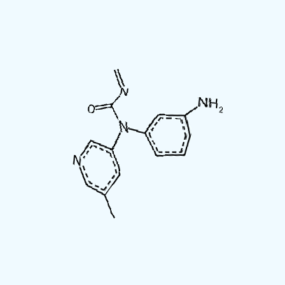 C=NC(=O)N(c1cncc(C)c1)c1cccc(N)c1